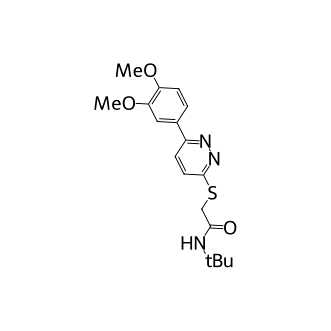 COc1ccc(-c2ccc(SCC(=O)NC(C)(C)C)nn2)cc1OC